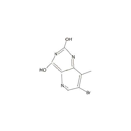 Cc1c(Br)cnc2c(O)nc(O)nc12